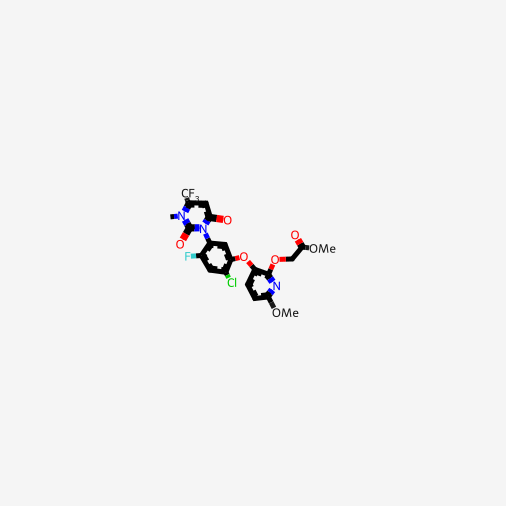 COC(=O)COc1nc(OC)ccc1Oc1cc(-n2c(=O)cc(C(F)(F)F)n(C)c2=O)c(F)cc1Cl